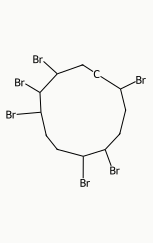 BrC1CCC(Br)C(Br)CCC(Br)C(Br)C(Br)CC1